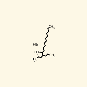 Br.C=CCC(CC=C)C(N)CCCCCCCCCCC